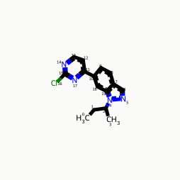 CCC(C)n1ncc2ccc(-c3ccnc(Cl)n3)cc21